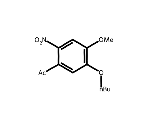 CCCCOc1cc(C(C)=O)c([N+](=O)[O-])cc1OC